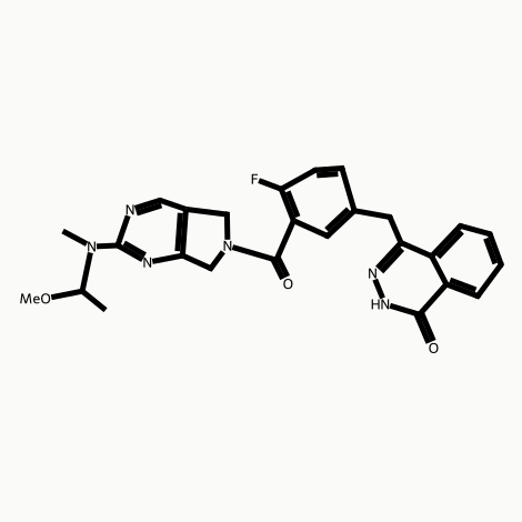 COC(C)N(C)c1ncc2c(n1)CN(C(=O)c1cc(Cc3n[nH]c(=O)c4ccccc34)ccc1F)C2